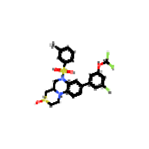 O=S(=O)(c1cccc(C(F)(F)F)c1)N1CC2C[S+]([O-])CCN2c2ccc(-c3cc(F)cc(OC(F)F)c3)cc21